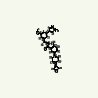 COc1cc(-c2cnn(C)c2)cc([C@@H](C)NC(=O)c2cc(N3CCN(C4COC4)CC3)ccc2C)c1